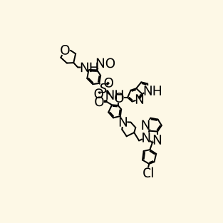 O=Nc1cc(S(=O)(=O)NC(=O)c2ccc(N3CCC(Cn4c(-c5ccc(Cl)cc5)nc5cccnc54)CC3)cc2Oc2cnc3[nH]ccc3c2)ccc1NCC1CCOCC1